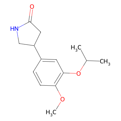 COc1ccc(C2CNC(=O)C2)cc1OC(C)C